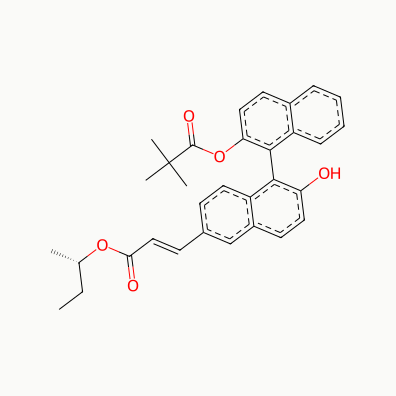 CC[C@H](C)OC(=O)C=Cc1ccc2c(-c3c(OC(=O)C(C)(C)C)ccc4ccccc34)c(O)ccc2c1